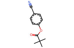 CC(C)(C)C(=O)Oc1ccc(C#N)cc1